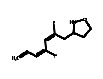 C=C/C=C(F)\C=C(\F)CC1CCON1